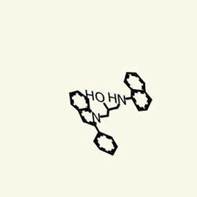 OC(CNc1cccc2ccccc12)Cn1c(-c2ccccc2)cc2ccccc21